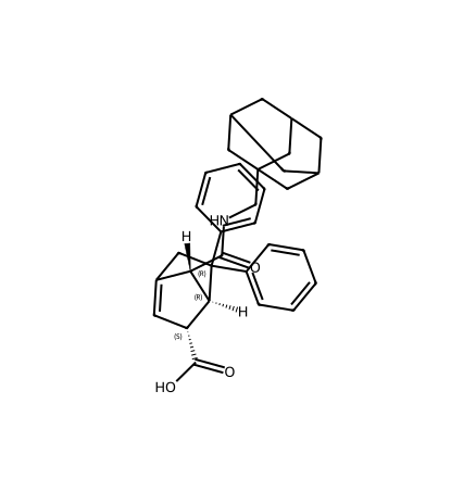 O=C(NCC12CC3CC(CC(C3)C1)C2)[C@H]1C2=C[C@@H](C(=O)O)[C@@H]1C(c1ccccc1)(c1ccccc1)C2